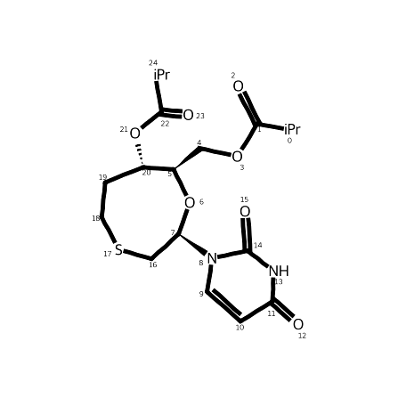 CC(C)C(=O)OC[C@H]1O[C@@H](n2ccc(=O)[nH]c2=O)CSCC[C@@H]1OC(=O)C(C)C